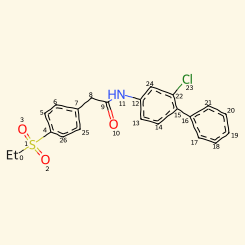 CCS(=O)(=O)c1ccc(CC(=O)Nc2ccc(-c3ccccc3)c(Cl)c2)cc1